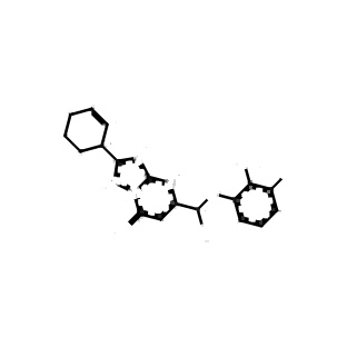 Cc1c(Cl)cccc1OC(C)c1cc(=O)n2nc(C3C=CCCC3)nc2[nH]1